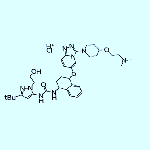 CN(C)CCOC1CCN(c2nnc3ccc(O[C@@H]4CC[C@H](NC(=O)Nc5cc(C(C)(C)C)nn5CCO)c5ccccc54)cn23)CC1.[Cl-].[H+]